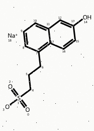 O=S(=O)([O-])CCCc1cccc2cc(O)ccc12.[Na+]